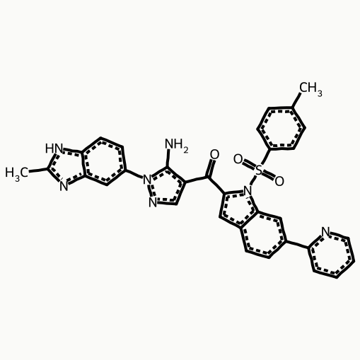 Cc1ccc(S(=O)(=O)n2c(C(=O)c3cnn(-c4ccc5[nH]c(C)nc5c4)c3N)cc3ccc(-c4ccccn4)cc32)cc1